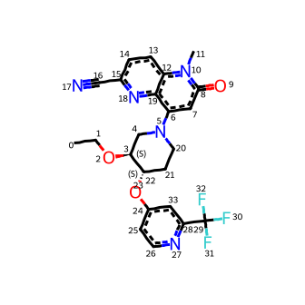 CCO[C@H]1CN(c2cc(=O)n(C)c3ccc(C#N)nc23)CC[C@@H]1Oc1ccnc(C(F)(F)F)c1